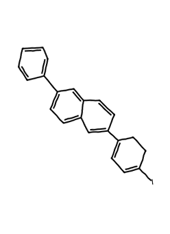 IC1=CC=C(c2ccc3cc(-c4ccccc4)ccc3c2)CC1